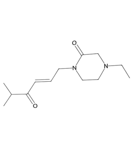 CCN1CCN(C/C=C/C(=O)C(C)C)C(=O)C1